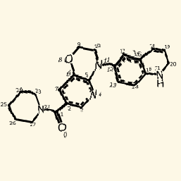 O=C(c1cnc2c(c1)OCCN2c1ccc2c(c1)C=CCN2)N1CCCCC1